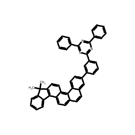 CC1(C)c2ccccc2-c2c1ccc1c2ccc2ccc3cc(-c4cccc(-c5nc(-c6ccccc6)nc(-c6ccccc6)n5)c4)ccc3c21